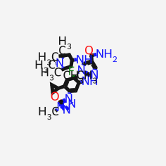 CN1C(C)(C)CC(Nc2nc(NC3C=C(n4nnn(C)c4=O)C(C4CC4)=CC3(C)F)ncc2C(N)=O)CC1(C)C